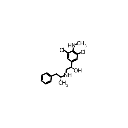 CNc1c(Cl)cc([C@@H](O)CN[C@H](C)Cc2ccccc2)cc1Cl